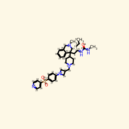 CCC[C@@H](CC1(C2CCN(CC3CN(c4ccc(S(=O)(=O)c5ccncc5)cc4)C3)CC2)CN(C)Cc2ccccc21)NC(=O)NC